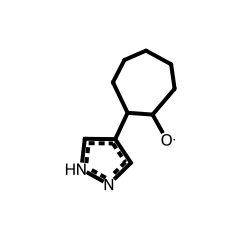 [O]C1CCCCCC1c1cn[nH]c1